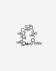 COc1ccc(CNC(=O)OCc2ccnc(C(=O)N[C@H]3CCC[C@@H](Nc4nc(-c5c[nH]c6ncc(F)cc56)ncc4F)C3)c2)cc1OC